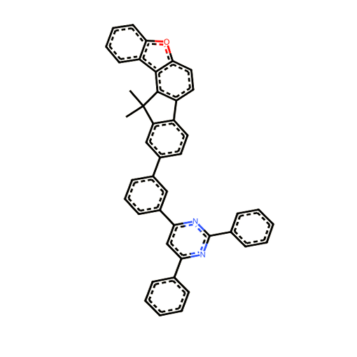 CC1(C)c2cc(-c3cccc(-c4cc(-c5ccccc5)nc(-c5ccccc5)n4)c3)ccc2-c2ccc3oc4ccccc4c3c21